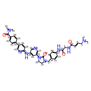 CN(C)CC=CC(=O)NCC(=O)Nc1ccc(CN2CCN(c3cncc(Nc4ccc(-c5ccc(C(=O)N(C)C)cc5)cn4)c3)C2=O)cc1